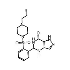 C=CCN1CCN(S(=O)(=O)c2ccccc2C2NC(=O)c3[nH]ncc3N2)CC1